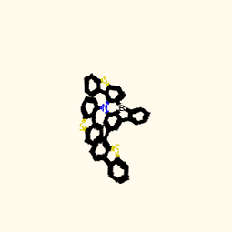 c1ccc2c(c1)B1c3ccc4sc5ccccc5c4c3N(c3cccc4sc5ccccc5c34)c3cc(-c4cccc5c4sc4ccccc45)cc-2c31